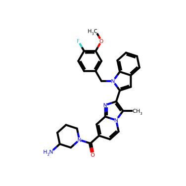 COc1cc(Cn2c(-c3nc4cc(C(=O)N5CCCC(N)C5)ccn4c3C)cc3ccccc32)ccc1F